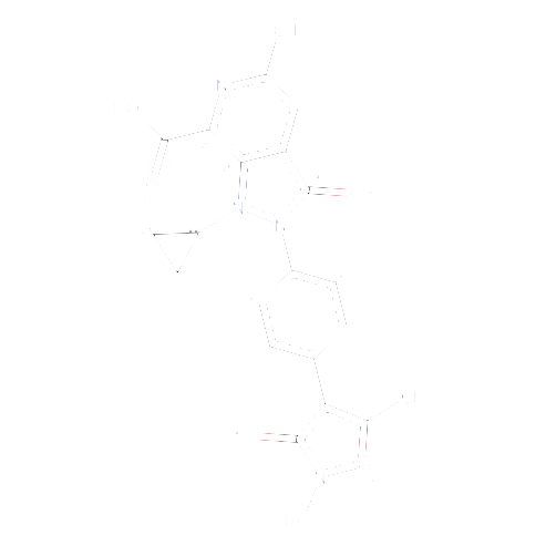 Cc1cc2c(=O)n(-c3ccc(-c4c(C)on(C)c4=O)cc3)n(C3CC3)c2c(C(=O)O)n1